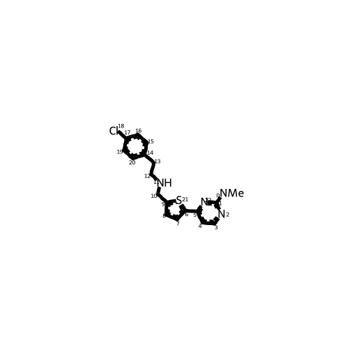 CNc1nccc(-c2ccc(CNCCc3ccc(Cl)cc3)s2)n1